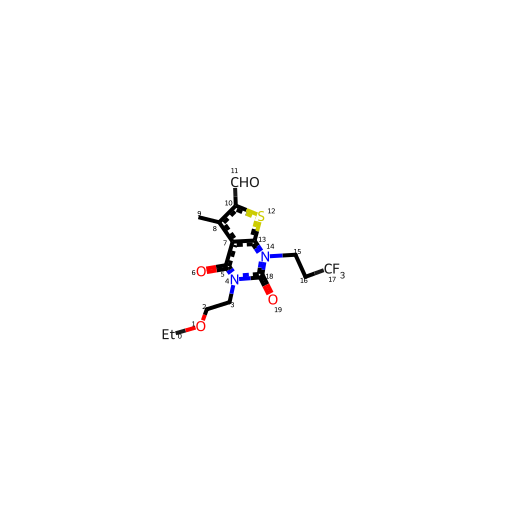 CCOCCn1c(=O)c2c(C)c(C=O)sc2n(CCC(F)(F)F)c1=O